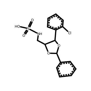 O=S(=O)(O)NCC1OC(c2ccccc2)OC1c1ccccc1Cl